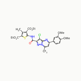 CCOC(=O)c1sc(NC(=O)c2nn3c(C(F)(F)F)cc(-c4ccc(OC)c(OC)c4)nc3c2Cl)c(C(=O)OCC)c1C